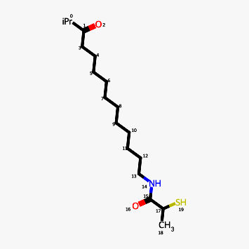 CC(C)C(=O)CCCCCCCCCCCNC(=O)C(C)S